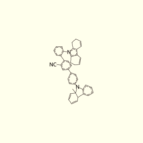 CC12C=CC=CC1c1ccccc1N2c1ccc(-c2ccc(-c3ccccc3-n3c4c(c5c3CCC=C5)C=CCC4)c(C#N)c2)cc1